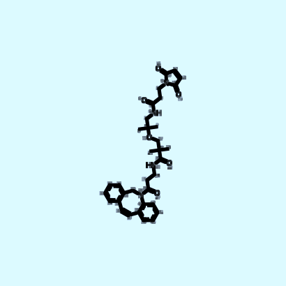 CC(C)(CNC(=O)CCN1C(=O)C=CC1=O)OCC(C)(C)C(=O)NCCC(=O)N1Cc2ccccc2C#Cc2ccccc21